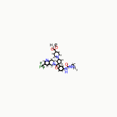 CCNC(=O)Nc1cccc(C2(C(=O)N3CCc4ncc(C(F)(F)F)cc4C3)CCC(N3CCC(C(=O)OC)CC3)C2)c1